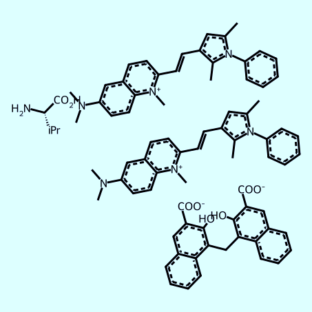 CC(C)[C@H](N)C(=O)O.Cc1cc(/C=C/c2ccc3cc(N(C)C)ccc3[n+]2C)c(C)n1-c1ccccc1.Cc1cc(/C=C/c2ccc3cc(N(C)C)ccc3[n+]2C)c(C)n1-c1ccccc1.O=C([O-])c1cc2ccccc2c(Cc2c(O)c(C(=O)[O-])cc3ccccc23)c1O